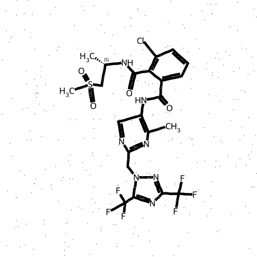 Cc1nc(Cn2nc(C(F)(F)F)nc2C(F)(F)F)ncc1NC(=O)c1cccc(Cl)c1C(=O)N[C@@H](C)CS(C)(=O)=O